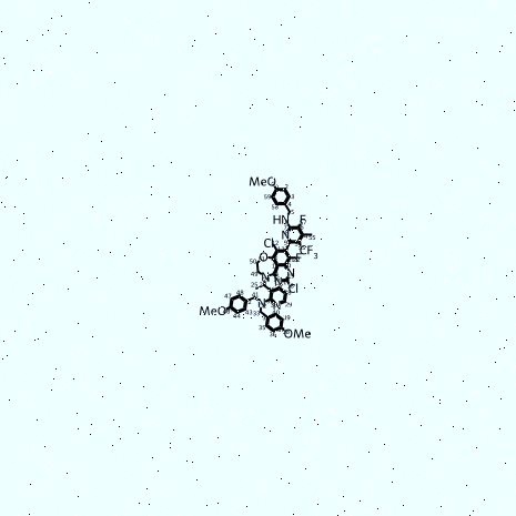 COc1ccc(CNc2nc(-c3c(Cl)c4c5c(nc(Cl)nc5c3F)N([C@H](C)c3cccnc3N(Cc3ccc(OC)cc3)Cc3ccc(OC)cc3)CCO4)c(C(F)(F)F)c(C)c2F)cc1